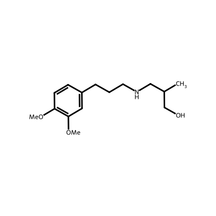 COc1ccc(CCCNCC(C)CO)cc1OC